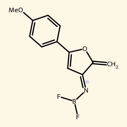 C=C1OC(c2ccc(OC)cc2)=C/C1=N\B(F)F